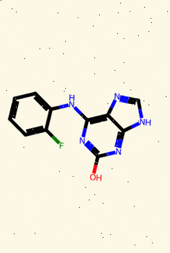 Oc1nc(Nc2ccccc2F)c2nc[nH]c2n1